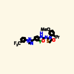 COc1ccc(C(C)C)c(N2C(=O)CS/C2=N\C(=O)Nc2ccc(-c3ncn(-c4cccc(C(F)(F)F)c4)n3)cc2F)c1